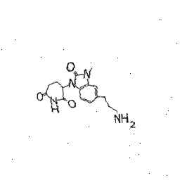 Cn1c(=O)n(C2CCC(=O)NC2=O)c2ccc(CCCN)cc21